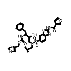 CC(C)CN(CC(O)C(Cc1ccccc1)NC(=O)OCc1cncs1)S(=O)(=O)c1ccc2nc(NC(=O)c3ccoc3)oc2c1